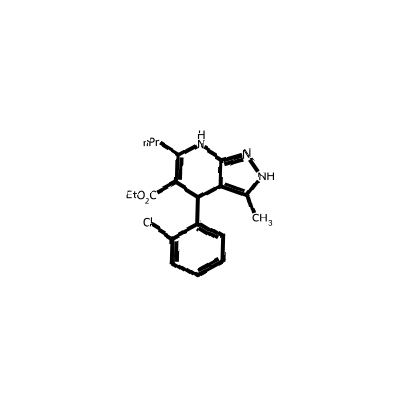 CCCC1=C(C(=O)OCC)C(c2ccccc2Cl)c2c(n[nH]c2C)N1